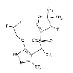 CC(c1c(C(F)(F)F)n[nH]c1OCC(F)F)S(=O)(=O)C1=NOC(C)(C)C1F